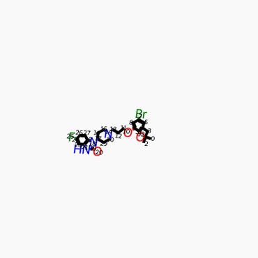 CC1(C)Cc2cc(Br)cc(OCCCN3CCC(n4c(=O)[nH]c5cc(F)ccc54)CC3)c2O1